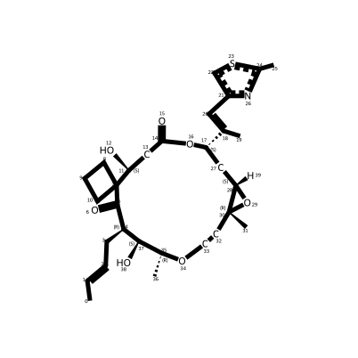 CC=CC[C@H]1C(=O)C2(CCC2)[C@@H](O)CC(=O)O[C@H](C(C)=Cc2csc(C)n2)C[C@@H]2O[C@]2(C)CCO[C@H](C)[C@H]1O